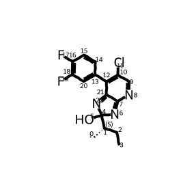 [CH2][C@@H](CC)C1(O)N=c2ncc(Cl)c(-c3ccc(F)c(F)c3)c2=N1